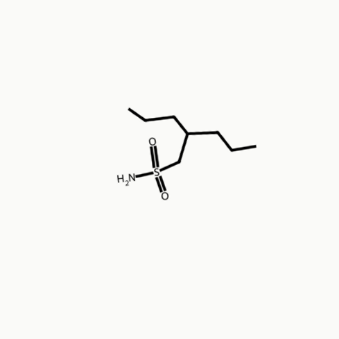 CCCC(CCC)CS(N)(=O)=O